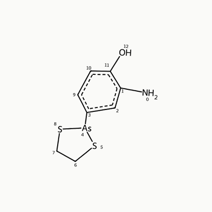 Nc1cc([As]2SCCS2)ccc1O